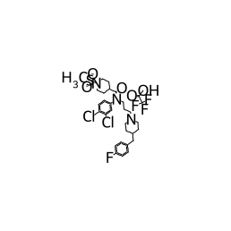 CS(=O)(=O)N1CCC(C(=O)N(CCCN2CCC(Cc3ccc(F)cc3)CC2)c2ccc(Cl)c(Cl)c2)CC1.O=C(O)C(F)(F)F